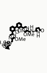 COc1nc(-c2cccc(-c3cccc(-c4cnc(CNCC5(S(C)(=O)=O)CC5)c(OC)n4)c3Cl)c2Cl)cnc1CNC[C@@H]1CCC(=O)N1